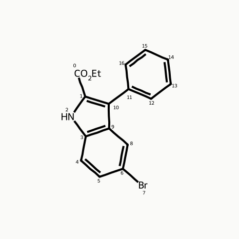 CCOC(=O)c1[nH]c2ccc(Br)cc2c1-c1ccccc1